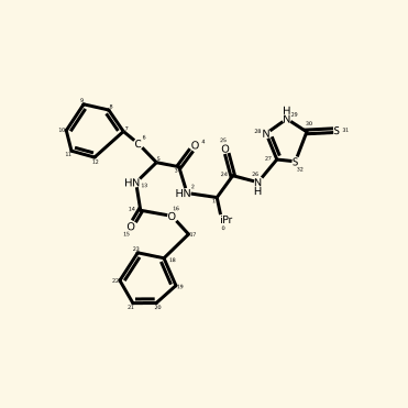 CC(C)C(NC(=O)C(Cc1ccccc1)NC(=O)OCc1ccccc1)C(=O)Nc1n[nH]c(=S)s1